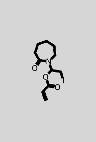 C=CC(=O)OC(CI)N1CCCCCC1=O